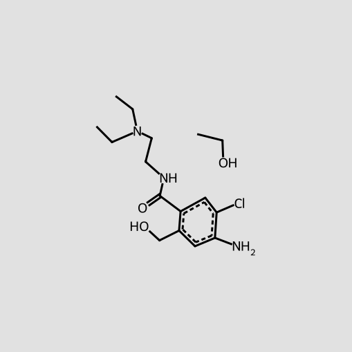 CCN(CC)CCNC(=O)c1cc(Cl)c(N)cc1CO.CCO